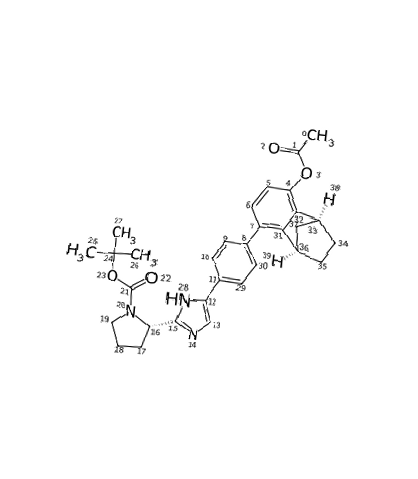 CC(=O)Oc1ccc(-c2ccc(-c3cnc([C@@H]4CCCN4C(=O)OC(C)(C)C)[nH]3)cc2)c2c1[C@H]1CC[C@@H]2C1